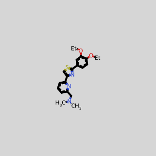 CCOc1ccc(-c2nc(-c3cccc(CN(C)C)n3)cs2)cc1OCC